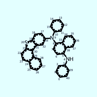 c1ccc(Nc2ccc(N(c3ccccc3)c3ccc4sc5ccc6ccccc6c5c4c3)c3ccccc23)cc1